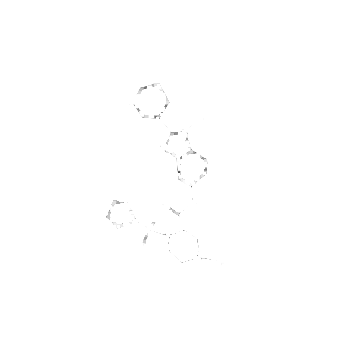 CCCCCCCCN1CCN(S(=O)(=O)c2cccs2)[C@H](C(=O)Nc2ccc3c(c2)nc(-c2cccnc2)n3CC)C1